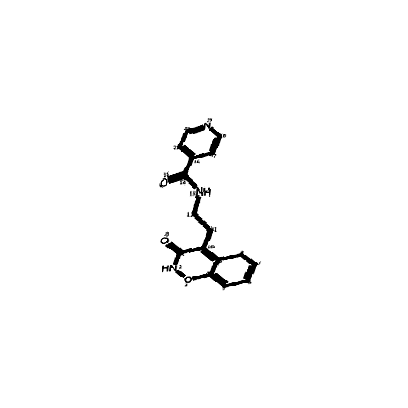 O=C1NOC2=CC=CCC2=C1CCNC(=O)c1ccncc1